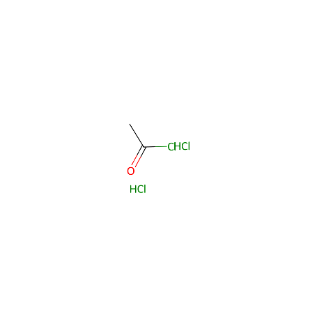 CC(=O)Cl.Cl.Cl